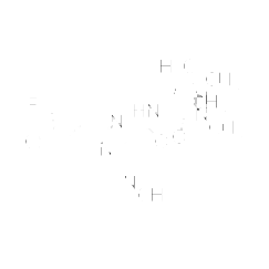 CNC(=O)[C@H](CC(C)(C)C)NC(=O)c1nc(-c2ccc(F)c(Cl)c2)n2c1CN(C)CCC2